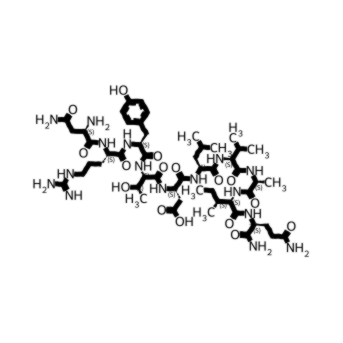 CC[C@H](C)[C@H](NC(=O)[C@H](C)NC(=O)[C@@H](NC(=O)[C@H](CC(C)C)NC(=O)[C@H](CC(=O)O)NC(=O)[C@@H](NC(=O)[C@H](Cc1ccc(O)cc1)NC(=O)[C@H](CCCNC(=N)N)NC(=O)[C@@H](N)CC(N)=O)[C@@H](C)O)C(C)C)C(=O)N[C@@H](CCC(N)=O)C(N)=O